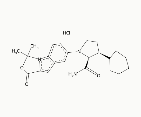 CC1(C)OC(=O)c2cc3cc(N4CC[C@@H](C5CCCCC5)[C@H]4C(N)=O)ccc3n21.Cl